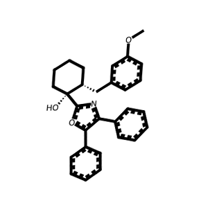 COc1cccc(C[C@H]2CCCC[C@]2(O)c2nc(-c3ccccc3)c(-c3ccccc3)o2)c1